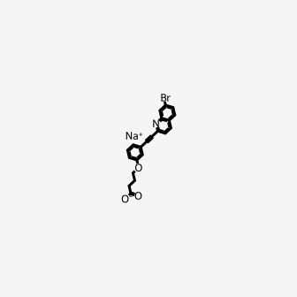 O=C([O-])CCCOc1cccc(C#Cc2ccc3ccc(Br)cc3n2)c1.[Na+]